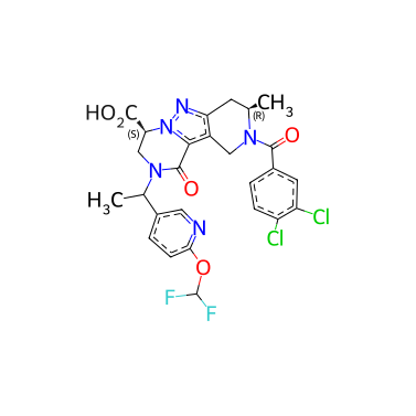 CC(c1ccc(OC(F)F)nc1)N1C[C@@H](C(=O)O)n2nc3c(c2C1=O)CN(C(=O)c1ccc(Cl)c(Cl)c1)[C@H](C)C3